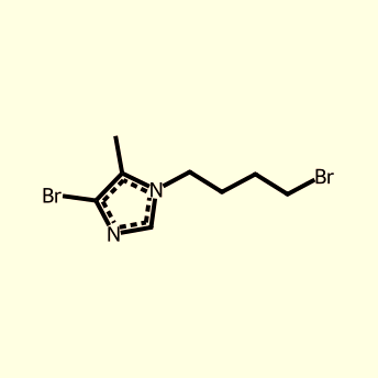 Cc1c(Br)ncn1CCCCBr